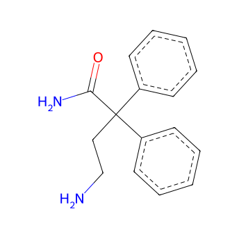 NCCC(C(N)=O)(c1ccccc1)c1ccccc1